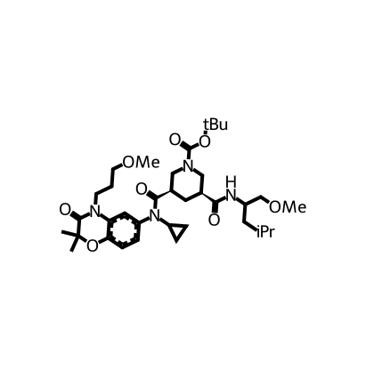 COCCCN1C(=O)C(C)(C)Oc2ccc(N(C(=O)[C@@H]3C[C@H](C(=O)NC(COC)CC(C)C)CN(C(=O)OC(C)(C)C)C3)C3CC3)cc21